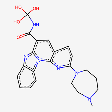 CN1CCCN(c2ccc3cc(C(=O)NC(O)(O)O)c4nc5ccccc5n4c3n2)CC1